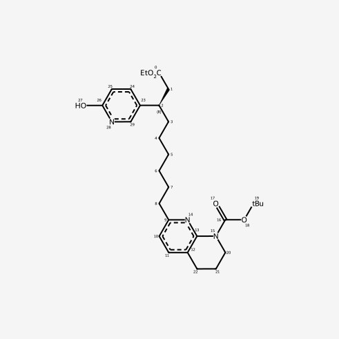 CCOC(=O)C[C@@H](CCCCCCc1ccc2c(n1)N(C(=O)OC(C)(C)C)CCC2)c1ccc(O)nc1